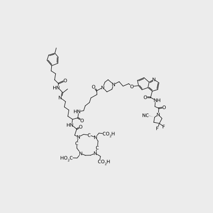 C/C(=N\CCCCC(NC(=O)CN1CCN(CC(=O)O)CCN(CC(=O)O)CCN(CC(=O)O)CC1)C(=O)NCCCCCC(=O)N1CCN(CCCOc2ccc3nccc(C(=O)NCC(=O)N4CC(F)(F)C[C@@H]4C#N)c3c2)CC1)NC(=O)CCCc1ccc(C)cc1